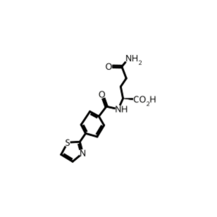 NC(=O)CC[C@H](NC(=O)c1ccc(-c2nccs2)cc1)C(=O)O